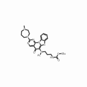 CC(=O)N(CCCNC(=O)OC(C)(C)C)c1c(=O)c2cnc(N3CCCN(C)CC3)nc2n2c1sc1ccccc12